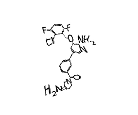 Nc1ncc(-c2cccc(C(=O)N3CC[C@H](N)C3)c2)cc1OCc1c(F)ccc(F)c1Cl